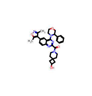 Cc1noc(C)c1-c1ccc2nc(C(=O)N3CCC4(CC3)CC(O)C4)nc(N3CCOCC3c3ccccc3)c2c1